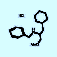 COCC(CC1CCCCC1)NCc1ccccc1.Cl